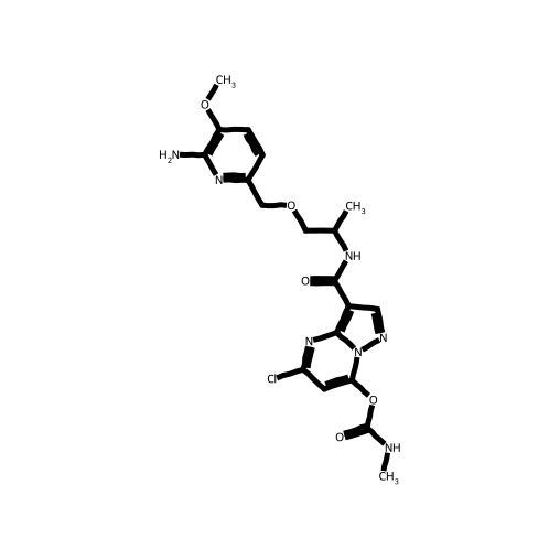 CNC(=O)Oc1cc(Cl)nc2c(C(=O)NC(C)COCc3ccc(OC)c(N)n3)cnn12